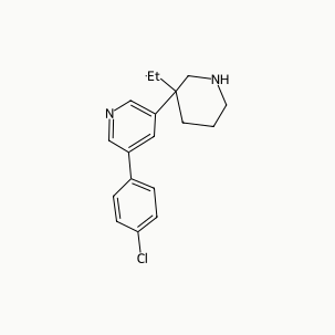 C[CH]C1(c2cncc(-c3ccc(Cl)cc3)c2)CCCNC1